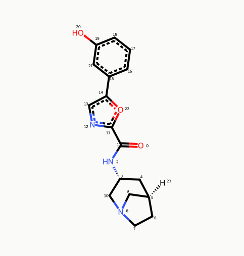 O=C(N[C@@H]1C[C@H]2CCN(C2)C1)c1ncc(-c2cccc(O)c2)o1